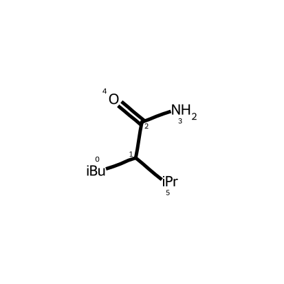 CCC(C)C(C(N)=O)C(C)C